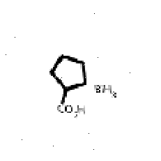 O=C(O)C1CCCC1.[BiH3]